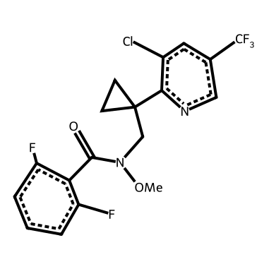 CON(CC1(c2ncc(C(F)(F)F)cc2Cl)CC1)C(=O)c1c(F)cccc1F